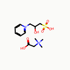 C[N+](C)(C)CC(=O)O.O=S(=O)(O)CC(O)C[n+]1ccccc1